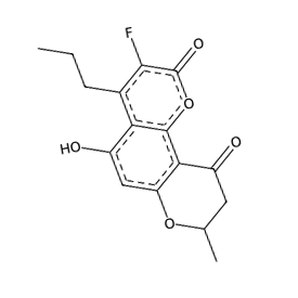 CCCc1c(F)c(=O)oc2c3c(cc(O)c12)OC(C)CC3=O